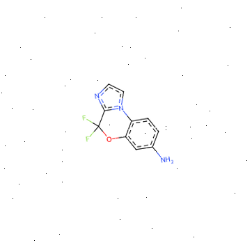 Nc1ccc2c(c1)OC(F)(F)c1nccn1-2